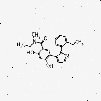 CCc1ccccc1-n1nccc1-c1cc(C(=O)N(C)CC)c(O)cc1O